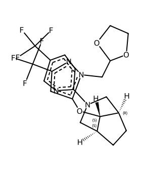 FC(F)(F)c1ccc(N2C[C@H]3CC[C@@H](C2)[C@@H]3Oc2cc(C(F)(F)F)nn2CC2OCCO2)nc1